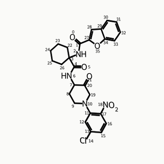 O=C(NC1(C(=O)NC2CCN(c3cc(Cl)ccc3[N+](=O)[O-])CC2=O)CCCCC1)c1cc2ccccc2o1